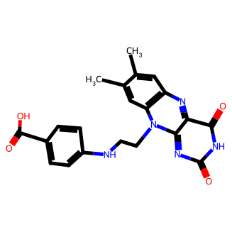 Cc1cc2nc3c(=O)[nH]c(=O)nc-3n(CCNc3ccc(C(=O)O)cc3)c2cc1C